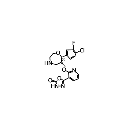 O=c1[nH]nc(-c2cccnc2OC[C@@H]2CNCCO[C@H]2c2ccc(Cl)c(F)c2)o1